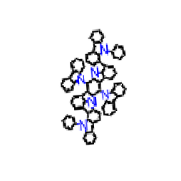 c1ccc(-n2c3ccccc3c3ccc4c(c5cccc6c7c(-n8c9ccccc9c9ccccc98)c8c(c(-n9c%10ccccc%10c%10ccccc%109)c7n4c65)c4cccc5c6c7c(ccc6n8c45)c4ccccc4n7-c4ccccc4)c32)cc1